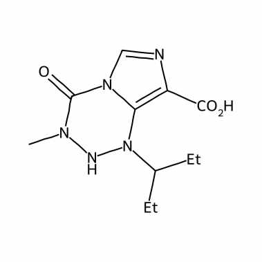 CCC(CC)N1NN(C)C(=O)n2cnc(C(=O)O)c21